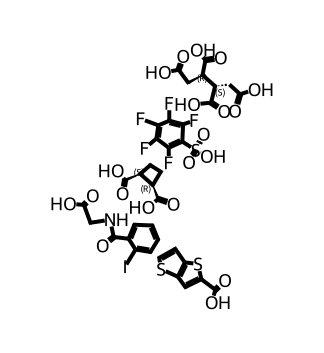 O=C(O)CNC(=O)c1ccccc1I.O=C(O)C[C@H](C(=O)O)[C@@H](CC(=O)O)C(=O)O.O=C(O)[C@H]1CC[C@H]1C(=O)O.O=C(O)c1cc2sccc2s1.O=S(=O)(O)c1c(F)c(F)c(F)c(F)c1F